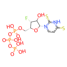 O=P(O)(O)OP(=O)(O)OP(=O)(O)OC[C@H]1O[C@@H](n2ccc(=S)[nH]c2=S)C(O)[C@H]1F